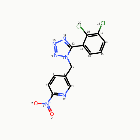 O=[N+]([O-])c1ccc(Cn2nnnc2-c2cccc(Cl)c2Cl)cn1